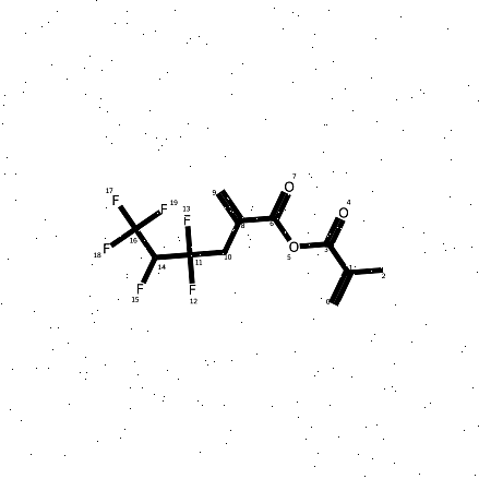 C=C(C)C(=O)OC(=O)C(=C)CC(F)(F)C(F)C(F)(F)F